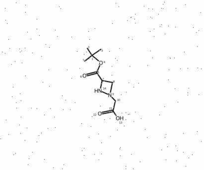 CC(C)(C)OC(=O)C1CN(CC(=O)O)N1